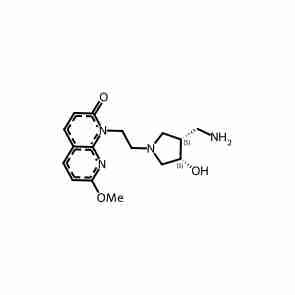 COc1ccc2ccc(=O)n(CCN3C[C@H](CN)[C@H](O)C3)c2n1